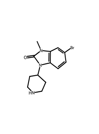 Cn1c(=O)n(C2CCNCC2)c2ccc(Br)cc21